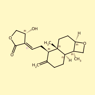 C=C1CC[C@@H]2[C@]3(C)CO[C@@H]3CC[C@@]2(C)[C@@H]1C/C=C1/C(=O)OC[C@@H]1O